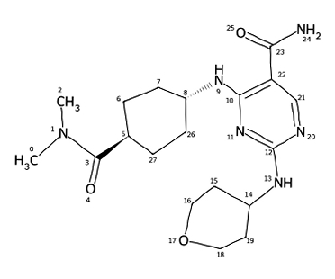 CN(C)C(=O)[C@H]1CC[C@H](Nc2nc(NC3CCOCC3)ncc2C(N)=O)CC1